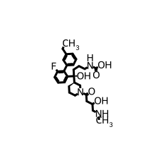 CCc1cccc(-c2c(F)cccc2[C@](O)(CCCNC(=O)O)[C@@H]2CCCN(C(=O)CC(O)CNC)C2)c1